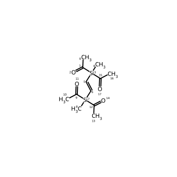 CC(=O)[Si](C)(C=C[Si](C)(C(C)=O)C(C)=O)C(C)=O